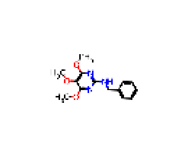 COc1nc(NCc2ccccc2)nc(OC)c1OC